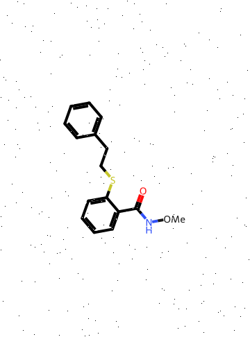 CONC(=O)c1ccccc1SCCc1ccccc1